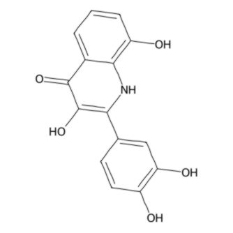 O=c1c(O)c(-c2ccc(O)c(O)c2)[nH]c2c(O)cccc12